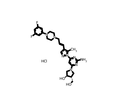 Cc1c(/C=C/CN2CCN(c3cc(F)cc(F)c3)CC2)cnn1-c1cc(N2C[C@H](CO)[C@@H](O)C2)nc(N)n1.Cl